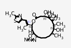 C/C(=C\c1csc(C)n1)[C@@H]1C[C@H](O)[C@@H](N=[N+]=[N-])CCC[C@H](C)[C@H](O)[C@@H](C)C(=O)C(C)(C)[C@@H](O)CC(=O)O1